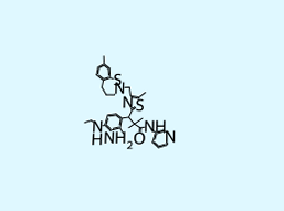 CCNc1ccc(C(c2nc(CN3CCCc4ccc(C)cc4S3)c(C)s2)C(C)(C)C(=O)Nc2cccnc2)c(C)c1N